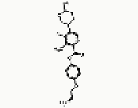 C=CCOc1ccc(OC(=O)c2ccc(C3CCC(CCC)OC3)c(F)c2C)cc1